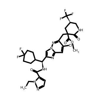 CCn1nccc1C(=O)N[C@H](c1cn2nc(CC3(C(=O)OC)C[C@@H](C(F)(F)F)CNC3=O)c(Cl)cc2n1)C1CCC(F)(F)CC1